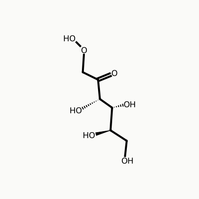 O=C(COO)[C@@H](O)[C@H](O)[C@H](O)CO